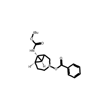 CC(C)(C)OC(=O)N[C@@]12C3CN(OC(=O)c4ccccc4)CC[C@@H]1[C@H]32